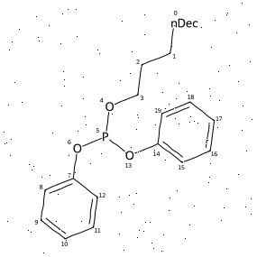 CCCCCCCCCCCCCOP(Oc1ccccc1)Oc1ccccc1